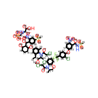 CC1COc2ccccc2N1C(=O)C(Cl)Cl.CCc1cccc(C)c1N(C(=O)CCl)C(C)COC.CS(=O)(=O)NC(=O)c1cc(Oc2ccc(C(F)(F)F)cc2Cl)ccc1[N+](=O)[O-].CS(=O)(=O)c1ccc(C(=O)C2C(=O)CCCC2=O)c([N+](=O)[O-])c1.O=C(O)CNCP(=O)(O)O